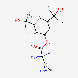 NC(I)(C(=O)OC1CC(C(O)(C(F)(F)F)C(F)(F)F)CC(C(O)(C(F)(F)F)C(F)(F)F)C1)C1CN1